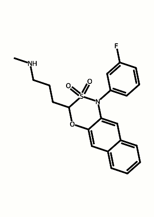 CNCCCC1Oc2cc3ccccc3cc2N(c2cccc(F)c2)S1(=O)=O